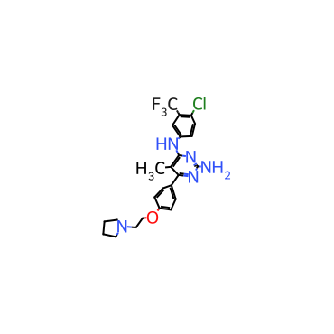 Cc1c(Nc2ccc(Cl)c(C(F)(F)F)c2)nc(N)nc1-c1ccc(OCCN2CCCC2)cc1